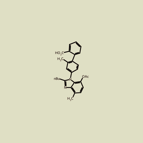 CCCCc1nc2c(C)ccc(OC(C)=O)c2n1-c1ccc(-c2ccccc2C(=O)O)c(C)c1